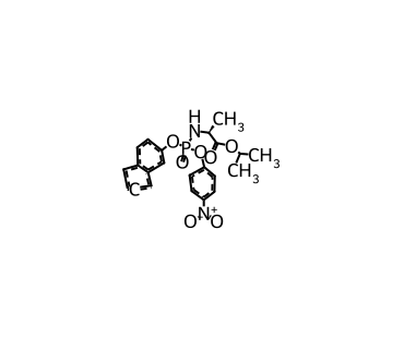 CC(C)OC(=O)[C@H](C)NP(=O)(Oc1ccc([N+](=O)[O-])cc1)Oc1ccc2ccccc2c1